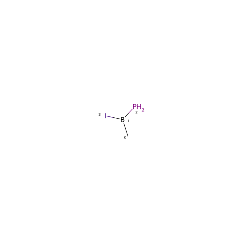 CB(P)I